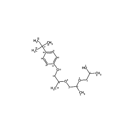 CC(O)COC(C)COC(C)COc1ccc(C(C)(C)C)cc1